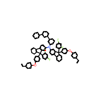 C=Cc1ccc(Oc2ccc(C3(c4ccc(F)cc4F)C4=C(C=CCC4)c4ccc(N(c5cccc(-c6cccc(-c7ccccc7)c6)c5)c5ccc6c(c5)C(c5ccc(Oc7ccc(C=C)cc7)cc5)(c5ccc(F)cc5F)c5ccccc5-6)cc43)cc2)cc1